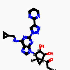 CCC(=O)[C@]12C[C@@H]1[C@@H](n1cnc3c(NCC4CC4)nc(-n4cc(-c5ncccn5)nn4)nc31)[C@@H](O)C2O